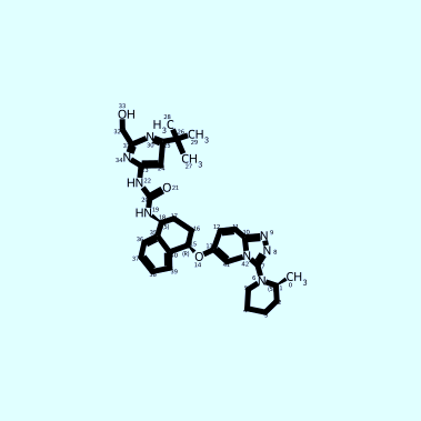 C[C@H]1CCCCN1c1nnc2ccc(O[C@@H]3CC[C@H](NC(=O)Nc4cc(C(C)(C)C)nc(CO)n4)c4ccccc43)cn12